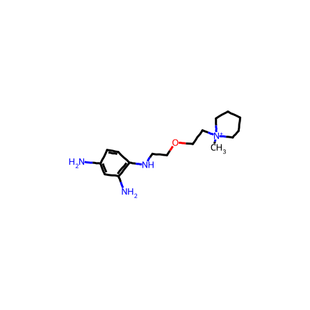 C[N+]1(CCOCCNc2ccc(N)cc2N)CCCCC1